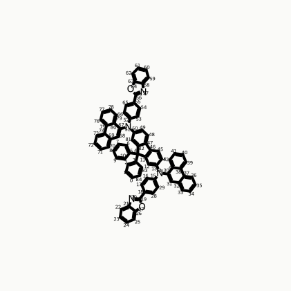 c1ccc(C2(c3ccccc3)c3cc(N(c4ccc(-c5nc6ccccc6o5)cc4)c4cc5ccccc5c5ccccc45)ccc3-c3ccc(N(c4ccc(-c5nc6ccccc6o5)cc4)c4cc5ccccc5c5ccccc45)cc32)cc1